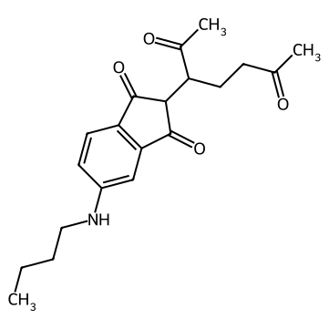 CCCCNc1ccc2c(c1)C(=O)C(C(CCC(C)=O)C(C)=O)C2=O